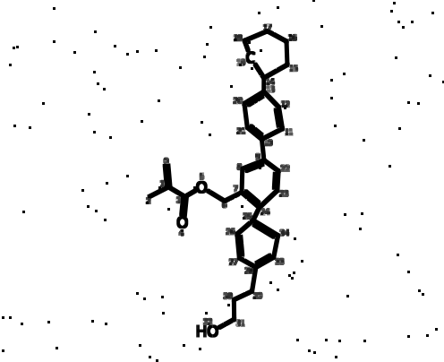 C=C(C)C(=O)OCc1cc(-c2ccc(C3CCCCC3)cc2)ccc1-c1ccc(CCCO)cc1